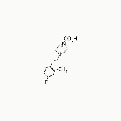 Cc1cc(F)ccc1CCN1CC2CC1CN2C(=O)O